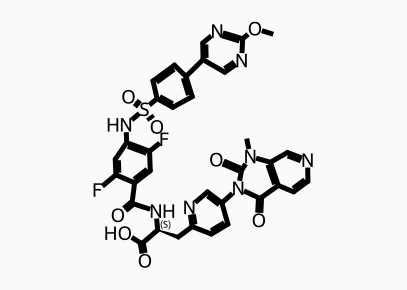 COc1ncc(-c2ccc(S(=O)(=O)Nc3cc(F)c(C(=O)N[C@@H](Cc4ccc(-n5c(=O)c6ccncc6n(C)c5=O)cn4)C(=O)O)cc3F)cc2)cn1